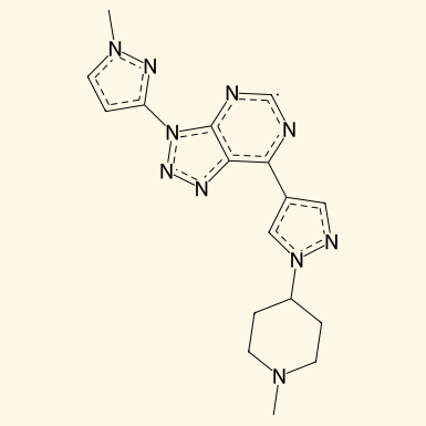 CN1CCC(n2cc(-c3n[c]nc4c3nnn4-c3ccn(C)n3)cn2)CC1